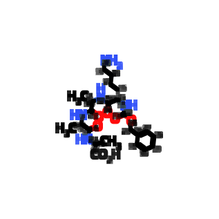 C[C@H](NC(=O)[C@H](C)NC(=O)[C@H](C)NC(=O)[C@H](CCCCN)NC(=O)OCc1ccccc1)C(=O)O